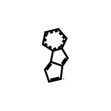 [C]1=CC=C2C1=Cc1ccccc12